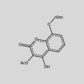 CCCCCCCCCCOc1cccc2c(O)c(OC(C)=O)c(=O)oc12